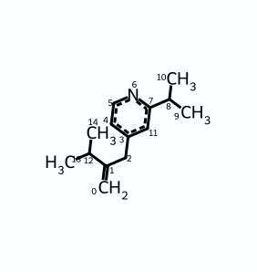 C=C(Cc1ccnc(C(C)C)c1)C(C)C